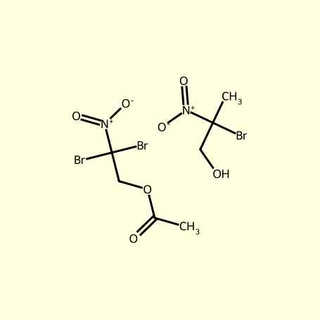 CC(=O)OCC(Br)(Br)[N+](=O)[O-].CC(Br)(CO)[N+](=O)[O-]